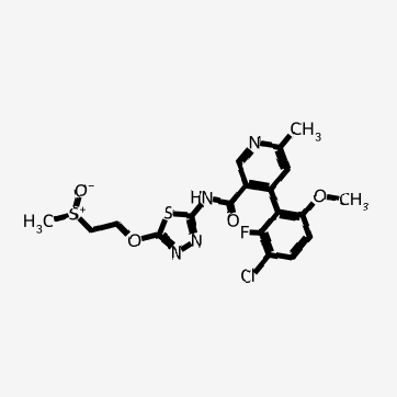 COc1ccc(Cl)c(F)c1-c1cc(C)ncc1C(=O)Nc1nnc(OCC[S+](C)[O-])s1